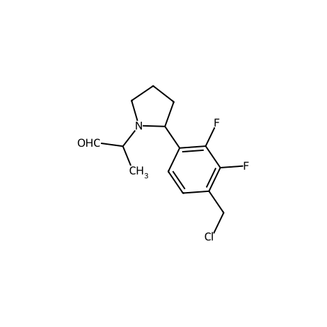 CC(C=O)N1CCCC1c1ccc(CCl)c(F)c1F